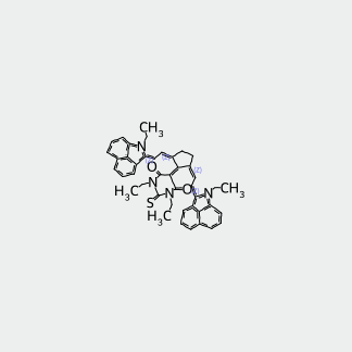 CCN1C(=O)C(=C2/C(=C\C=c3\c4cccc5cccc(c54)n3CC)CC/C2=C/C=c2/c3cccc4cccc(c43)n2CC)C(=O)N(CC)C1=S